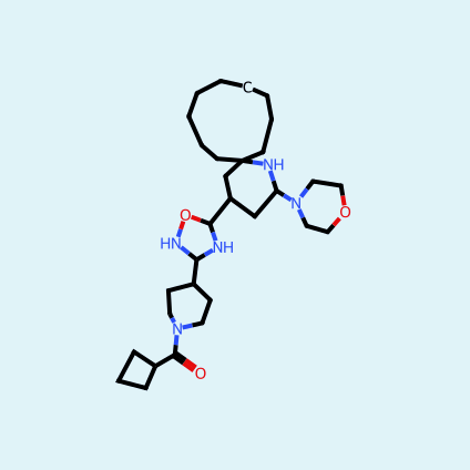 O=C(C1CCC1)N1CCC(C2NOC(C3CC(N4CCOCC4)NC4(CCCCCCCCC4)C3)N2)CC1